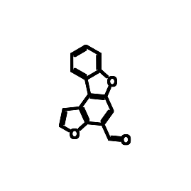 O=Cc1cc2oc3ccccc3c2c2ccoc12